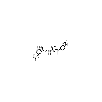 Cc1cc2cc(Nc3ccnc(NCCc4c[nH]c5ccc(OC(F)(F)F)cc45)n3)ccc2[nH]1